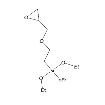 CCC[Si](CCOCC1CO1)(OCC)OCC